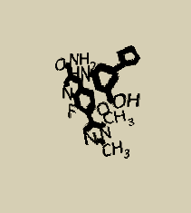 Cc1ncc(-c2ccc3c(Nc4cc(C(=O)O)cc(C5CCCC5)c4)c(C(N)=O)cnc3c2F)c(C)n1